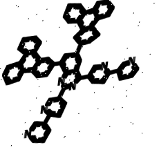 c1cncc(-c2ccc(-c3nc(-c4ccc(-c5cccnc5)nc4)c4cc(-c5ccc6c7ccccc7c7ccccc7c6c5)cc(-c5ccc6c7ccccc7c7ccccc7c6c5)c4n3)cn2)c1